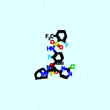 CC(C)(C)OC(=O)N1CC2CCC(C1)N2c1nc(-c2cccc(NS(=O)(=O)c3c(F)cccc3C(F)(F)F)c2F)c(-c2ccnc(Cl)n2)s1